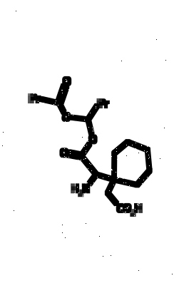 CC(C)C(=O)OC(OC(=O)C(N)C1(CC(=O)O)CCCCC1)C(C)C